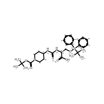 CC(C)(C)OC(=O)N1CCC(NC(=O)N[C@@H](CO[Si](c2ccccc2)(c2ccccc2)C(C)(C)C)C(=O)O)CC1